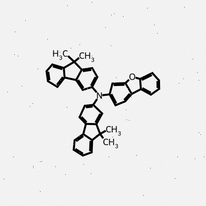 CC1(C)c2ccccc2-c2cc(N(c3ccc4c(c3)C(C)(C)c3ccccc3-4)c3ccc4c(c3)oc3ccccc34)ccc21